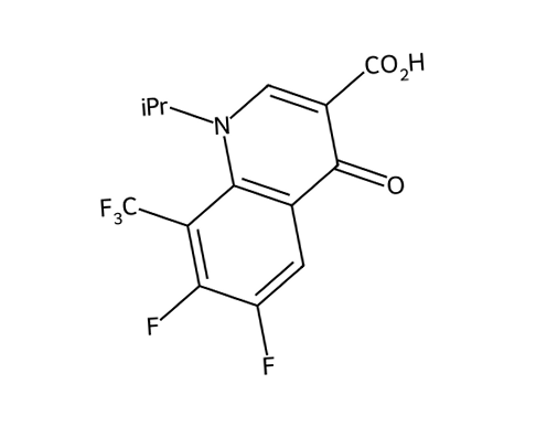 CC(C)n1cc(C(=O)O)c(=O)c2cc(F)c(F)c(C(F)(F)F)c21